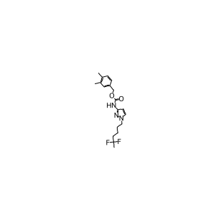 Cc1ccc(COC(=O)Nc2ccn(CCCCC(C)(F)F)n2)cc1C